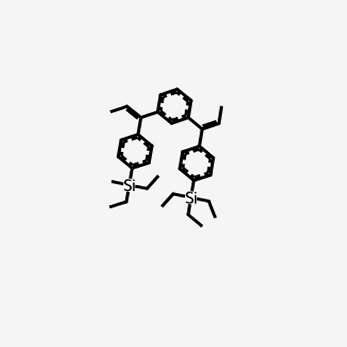 C/C=C(/c1ccc([Si](CC)(CC)CC)cc1)c1cccc(/C(=C/C)c2ccc([Si](C)(CC)CC)cc2)c1